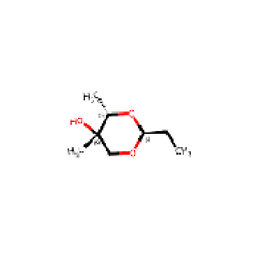 CC[C@H]1OC[C@](C)(O)[C@H](C)O1